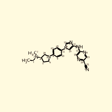 CCN(C)[C@@H]1CCN(c2ccc(-n3cnc(Nc4cnc(C#N)cn4)c3)cc2)C1